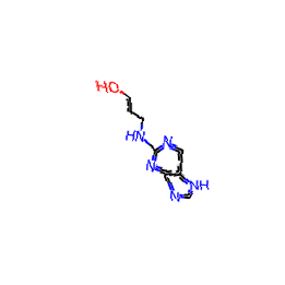 OC=CCNc1ncc2[nH]cnc2n1